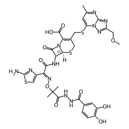 COCc1nc2nc(C)cc(SCC3=C(C(=O)O)N4C(=O)C(NC(=O)C(=NOC(C)(C)C(=O)NNC(=O)c5ccc(O)c(O)c5)c5csc(N)n5)[C@@H]4SC3)n2n1